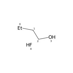 CCCCO.F